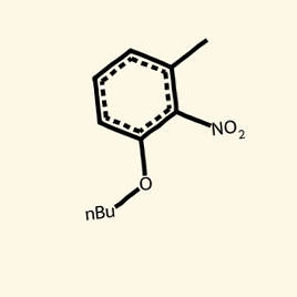 CCCCOc1cccc(C)c1[N+](=O)[O-]